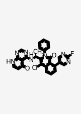 C[C@H](Nc1ncnc2[nH]ccc(=O)c12)c1c(Cl)c2cccc(-c3cnc(F)nc3)c2c(=O)n1-c1ccccc1